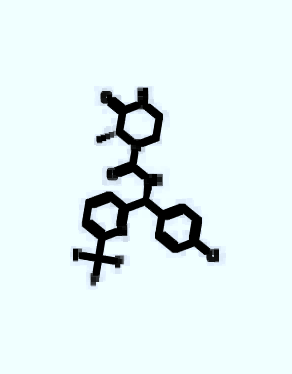 C[C@@H]1C(=O)NCCN1C(=O)N[C@@H](c1ccc(Cl)cc1)c1cccc(C(F)(F)F)n1